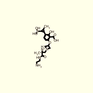 CC1C(B(O)O)C1c1ccc(OC2CN(C[C@](C)(N)C(=O)NCCN)C2)c(C(=O)O)c1O